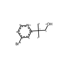 CC(C)(CO)c1cc(Br)ccn1